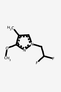 COc1nn(CC(F)F)cc1C